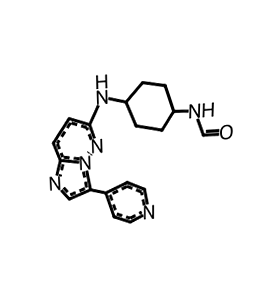 O=CNC1CCC(Nc2ccc3ncc(-c4ccncc4)n3n2)CC1